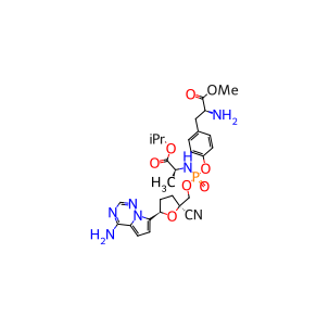 COC(=O)[C@@H](N)Cc1ccc(OP(=O)(N[C@@H](C)C(=O)OC(C)C)OC[C@]2(C#N)CC[C@H](c3ccc4c(N)ncnn34)O2)cc1